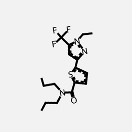 CCCN(CCC)C(=O)c1ccc(-c2cc(C(F)(F)F)n(CC)n2)s1